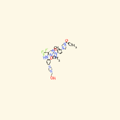 COc1cc(N2CCN(C(C)=O)CC2)ccc1Nc1ncc(C(F)(F)F)c(Nc2ccc(N3CCN(CCO)CC3)cc2OC)n1